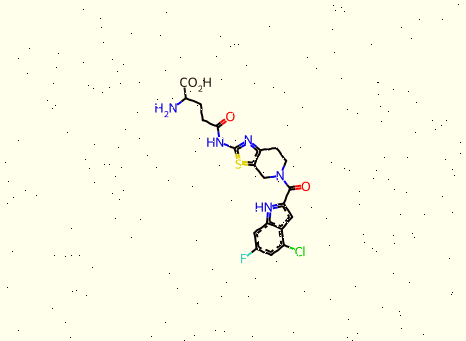 NC(CCC(=O)Nc1nc2c(s1)CN(C(=O)c1cc3c(Cl)cc(F)cc3[nH]1)CC2)C(=O)O